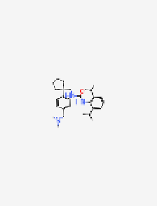 CC(C)c1c#ccc(C(C)C)c1NC(=O)NCC1(c2ccc(CN(C)C)cc2)CCCC1